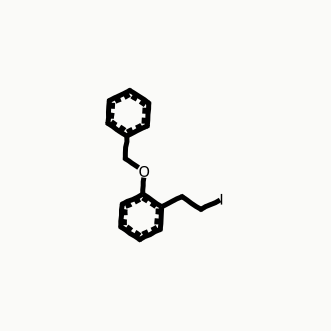 ICCc1ccccc1OCc1ccccc1